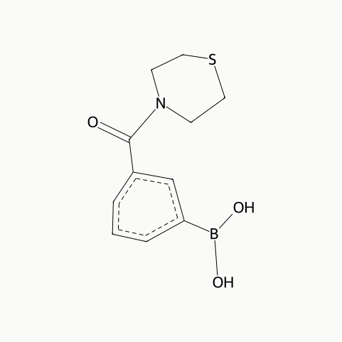 O=C(c1cccc(B(O)O)c1)N1CCSCC1